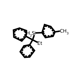 CCC([SiH2]c1ccc(C)cc1)(c1ccccc1)c1ccccc1